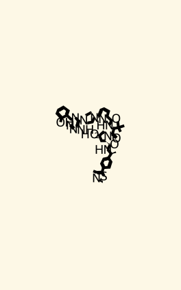 Cc1ncsc1-c1ccc([C@H](C)NC(=O)[C@@H]2C[C@@H](O)CN2C(=O)C(NC(=O)c2cccc(N3CCN(c4nc(-c5ccccc5O)nnc4N)CC3)n2)C(C)(C)C)cc1